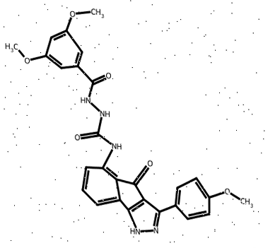 COc1ccc(-c2n[nH]c3c2C(=O)c2c(NC(=O)NNC(=O)c4cc(OC)cc(OC)c4)cccc2-3)cc1